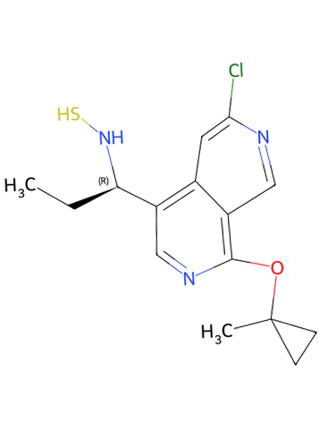 CC[C@@H](NS)c1cnc(OC2(C)CC2)c2cnc(Cl)cc12